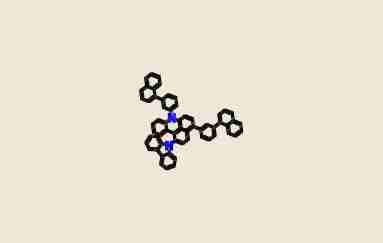 c1cc(-c2ccc(N(c3cccc(-c4cccc5ccccc45)c3)c3ccccc3-c3ccccc3-n3c4ccccc4c4ccccc43)cc2)cc(-c2cccc3ccccc23)c1